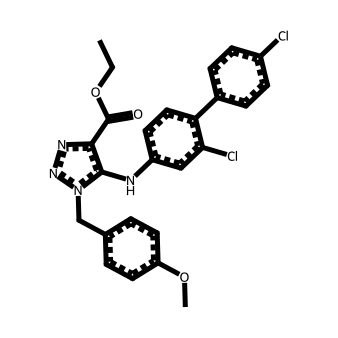 CCOC(=O)c1nnn(Cc2ccc(OC)cc2)c1Nc1ccc(-c2ccc(Cl)cc2)c(Cl)c1